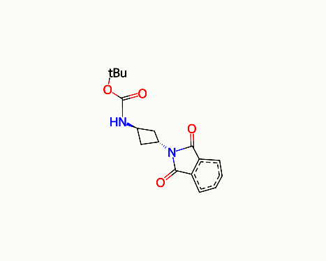 CC(C)(C)OC(=O)N[C@H]1C[C@H](N2C(=O)c3ccccc3C2=O)C1